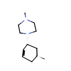 CN1CCN([C@H]2C=CC[C@H](C(=O)O)C2)CC1